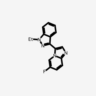 CCn1nc(-c2cnc3ccc(F)cn23)c2ccccc21